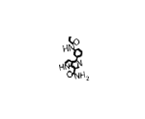 C=CC(=O)Nc1cccc(-c2ncc(C(N)=O)c3[nH]ccc23)c1